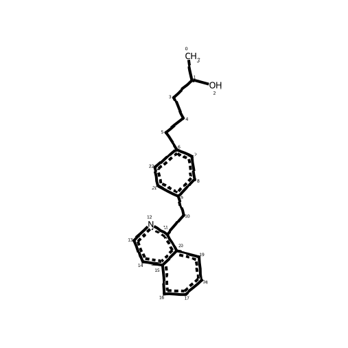 CC(O)CCCc1ccc(Cc2nccc3ccccc23)cc1